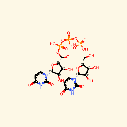 O=c1ccn([C@@H]2O[C@H](C(O)OP(=O)(O)OP(=O)(O)OP(=O)(O)O)[C@@H](O)[C@H]2O)c(=O)[nH]1.O=c1ccn([C@@H]2O[C@H](CO)[C@@H](O)[C@H]2O)c(=O)[nH]1